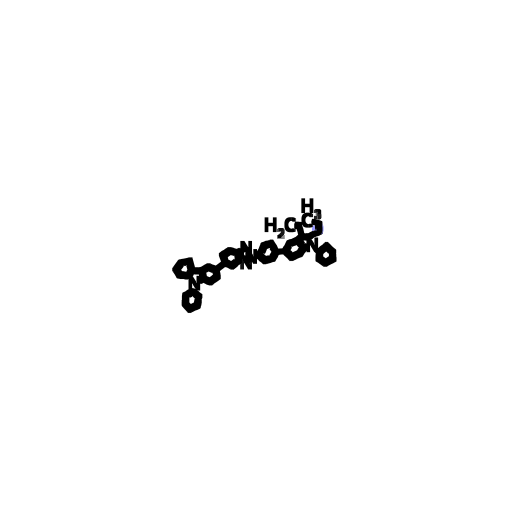 C=Cc1c(/C=C\C)n(-c2ccccc2)c2ccc(-c3ccc(-n4nc5ccc(-c6ccc7c(c6)c6ccccc6n7-c6ccccc6)cc5n4)cc3)cc12